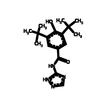 CC(C)(C)c1cc(C(=O)Nc2ncn[nH]2)cc(C(C)(C)C)c1O